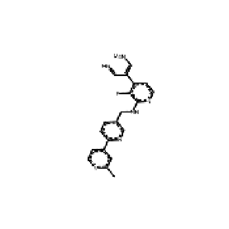 CN/C=C(\C=N)c1ccnc(NCc2ccc(-c3ccnc(C)c3)nc2)c1F